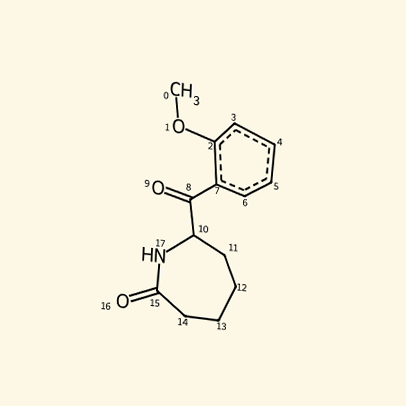 COc1ccccc1C(=O)C1CCCCC(=O)N1